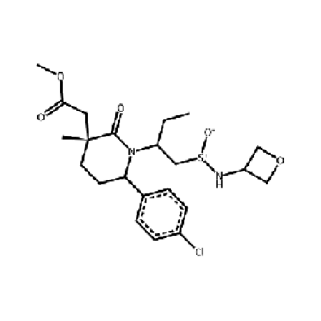 CCC(C[S+]([O-])NC1COC1)N1C(=O)[C@@](C)(CC(=O)OC)CCC1c1ccc(Cl)cc1